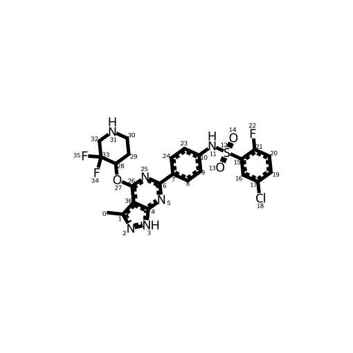 Cc1n[nH]c2nc(-c3ccc(NS(=O)(=O)c4cc(Cl)ccc4F)cc3)nc(OC3CCNCC3(F)F)c12